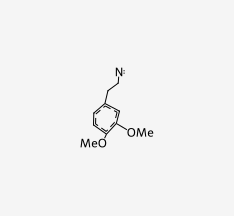 COc1ccc(CC[N])cc1OC